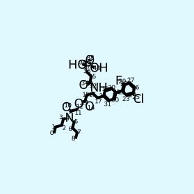 CCCCN(CCCC)C(=O)COC(=O)CC(Cc1ccc(-c2cc(Cl)ccc2F)cc1)NC(=O)CCP(=O)(O)O